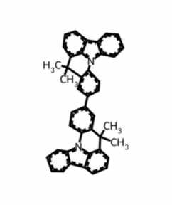 CC1(C)c2cc(-c3ccc4c(c3)C(C)(C)c3cccc5c6ccccc6n-4c35)ccc2-n2c3ccccc3c3cccc1c32